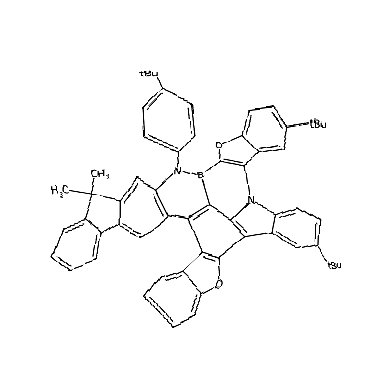 CC(C)(C)c1ccc(N2B3c4oc5ccc(C(C)(C)C)cc5c4-n4c5ccc(C(C)(C)C)cc5c5c6oc7ccccc7c6c(c3c54)-c3cc4c(cc32)C(C)(C)c2ccccc2-4)cc1